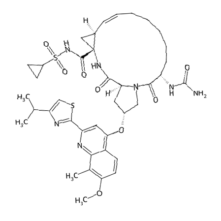 COc1ccc2c(O[C@@H]3C[C@H]4C(=O)N[C@]5(C(=O)NS(=O)(=O)C6CC6)C[C@H]5/C=C\CCCCC[C@H](NC(N)=O)C(=O)N4C3)cc(-c3nc(C(C)C)cs3)nc2c1C